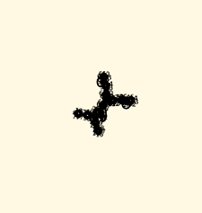 c1ccc(-c2ccc(N(c3ccc(-c4ccccc4)cc3)c3ccc(-c4ccc(-n5c6ccc(-c7ccc8c(c7)oc7ccccc78)cc6c6cc(-c7ccc8c(c7)oc7ccccc78)ccc65)cc4)c4nsnc34)cc2)cc1